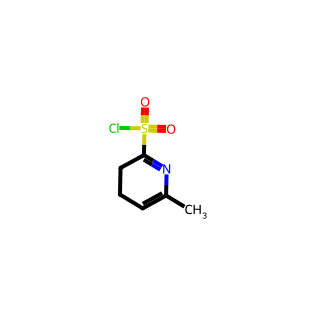 CC1=CCCC(S(=O)(=O)Cl)=N1